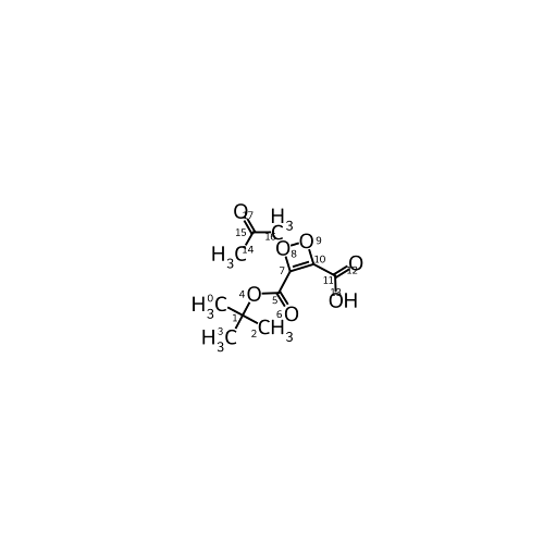 CC(C)(C)OC(=O)c1ooc1C(=O)O.CC(C)=O